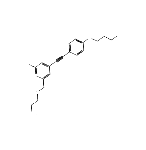 CCCCOc1ccc(C#Cc2cc(C)nc(CNCCC)c2)cc1